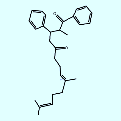 CC(C)=CCC/C(C)=C/CCC(=O)CC(c1ccccc1)C(C)C(=O)c1ccccc1